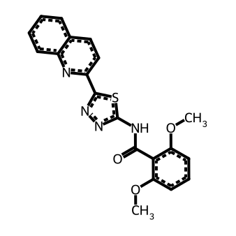 COc1cccc(OC)c1C(=O)Nc1nnc(-c2ccc3ccccc3n2)s1